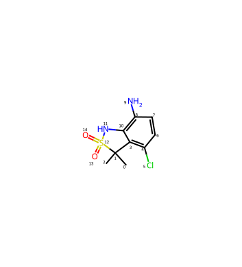 CC1(C)c2c(Cl)ccc(N)c2NS1(=O)=O